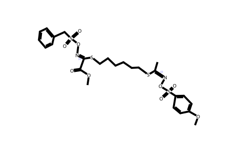 COC(=O)/C(=N/OS(=O)(=O)Cc1ccccc1)SCCCCCCS/C(C)=N\OS(=O)(=O)c1ccc(OC)cc1